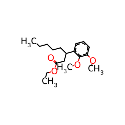 CCCCCC(CC(=O)OCC)c1cccc(OC)c1OC